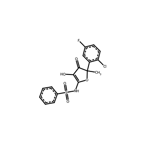 CC1(c2cc(F)ccc2Cl)OC(NS(=O)(=O)c2ccccc2)=C(O)C1=O